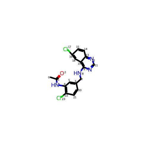 CC(=O)Nc1cc(CNc2ncnc3ccc(Cl)cc23)ccc1Cl